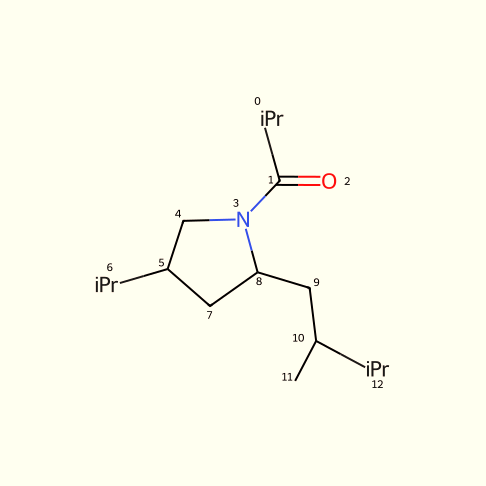 CC(C)C(=O)N1CC(C(C)C)CC1CC(C)C(C)C